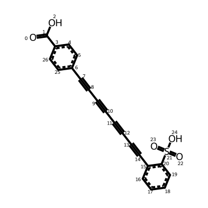 O=C(O)c1ccc(C#CC#CC#CC#Cc2ccccc2S(=O)(=O)O)cc1